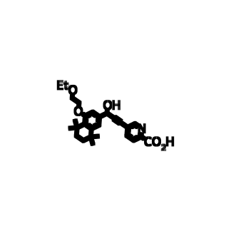 CCOCCOc1cc(C(O)C#Cc2ccc(C(=O)O)nc2)cc2c1C(C)(C)CCC2(C)C